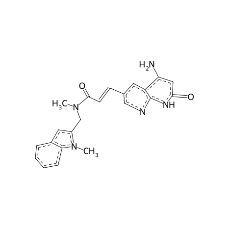 CN(Cc1cc2ccccc2n1C)C(=O)/C=C/c1cnc2[nH]c(=O)cc(N)c2c1